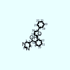 OC(c1cncnc1)c1ccccc1-c1ccc(-c2ccccc2)o1